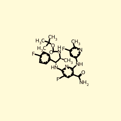 Cc1ncc(Nc2nc(N[C@H](c3ccc(F)cc3)[C@H](C)NC(=O)OC(C)(C)C)c(F)cc2C(N)=O)cc1F